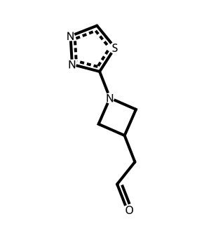 O=CCC1CN(c2nncs2)C1